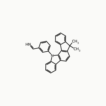 CC1(C)c2ccccc2-c2c1ccc1c3ccccc3n(-c3cccc(C=N)c3)c21